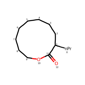 CCCC1CCCCCCCCOC1=O